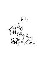 CCCC(=O)c1cccn1[C@@H](Cc1ccc(O)cc1)C(=O)OC